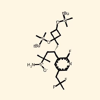 CC(F)(F)Cc1cnc(F)c([C@@H](CC2(O[Si](C)(C)C(C)(C)C)CC(O[Si](C)(C)C(C)(C)C)C2)CC(C)(C)[S+](N)[O-])c1